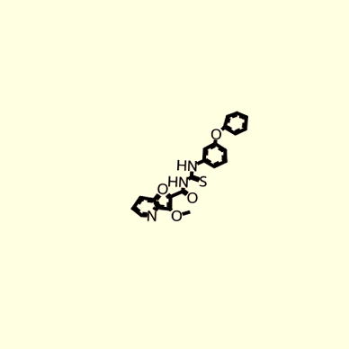 COc1c(C(=O)NC(=S)Nc2cccc(Oc3ccccc3)c2)oc2cccnc12